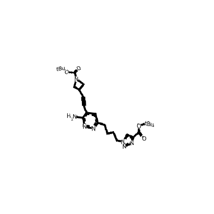 CC(C)(C)OC(=O)c1cn(CCCCc2cc(C#CC3CN(C(=O)OC(C)(C)C)C3)c(N)nn2)nn1